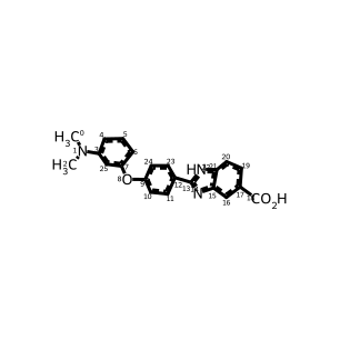 CN(C)c1cccc(Oc2ccc(-c3nc4cc(C(=O)O)ccc4[nH]3)cc2)c1